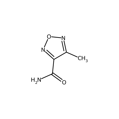 Cc1nonc1C(N)=O